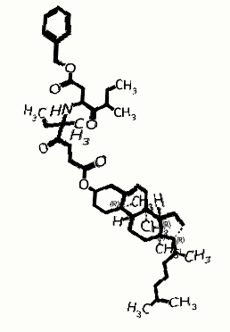 CCC(C)C(=O)C(CC(=O)OCc1ccccc1)NC(C)(CC)C(=O)CCC(=O)OC1CC[C@@]2(C)C(=CC[C@@]3(C)[C@@H]4CC[C@H]([C@@H](C)CCCC(C)C)[C@@]4(C)CC[C@@H]32)C1